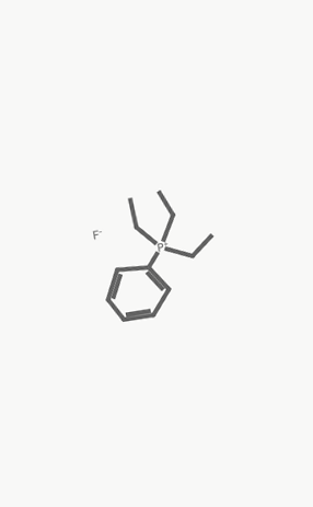 CC[P+](CC)(CC)c1ccccc1.[F-]